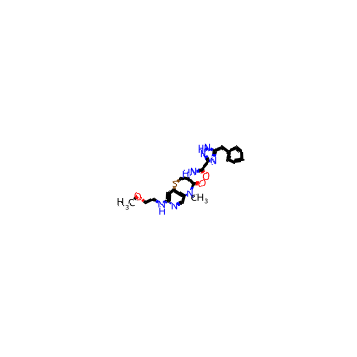 COCCNc1cc2c(cn1)N(C)C(=O)[C@@H](NC(=O)c1n[nH]c(Cc3ccccc3)n1)CS2